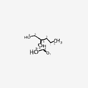 CCCC(O)CO.O=CO